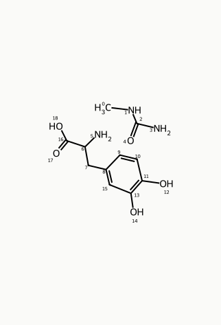 CNC(N)=O.NC(Cc1ccc(O)c(O)c1)C(=O)O